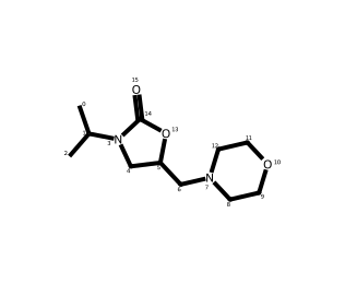 CC(C)N1CC(CN2CCOCC2)OC1=O